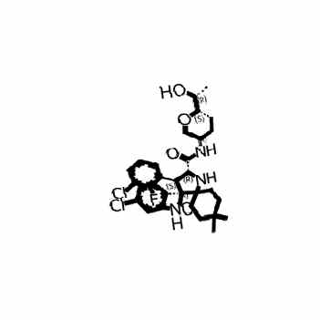 C[C@@H](O)[C@@H]1CC[C@@H](NC(=O)[C@@H]2NC3(CCC(C)(C)CC3)[C@@]3(C(=O)Nc4cc(Cl)ccc43)[C@H]2c2cccc(Cl)c2F)CO1